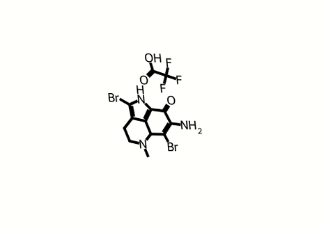 CN1CCc2c(Br)[nH]c3c2C1C(Br)=C(N)C3=O.O=C(O)C(F)(F)F